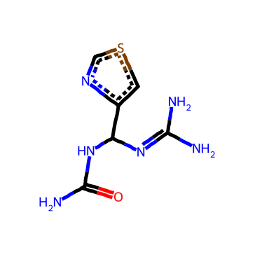 NC(=O)NC(N=C(N)N)c1cscn1